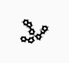 c1ccc(-c2cccc(N(c3ccc(-c4ccc5ccccc5c4)cc3)c3cccc(-c4cc5ccccc5o4)c3)c2)cc1